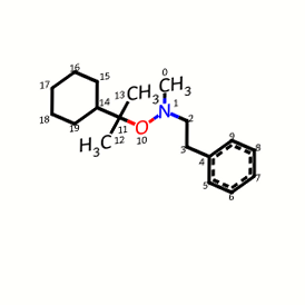 CN(CCc1ccccc1)OC(C)(C)C1CCCCC1